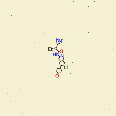 CCC1C(C(=O)Nc2cc3cc(C4CCC(=O)CC4)c(Cl)cc3cn2)C1c1cnn(C)c1